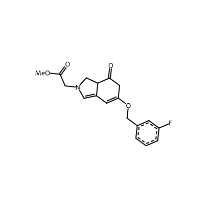 COC(=O)CN1C=C2C=C(OCc3cccc(F)c3)CC(=O)C2C1